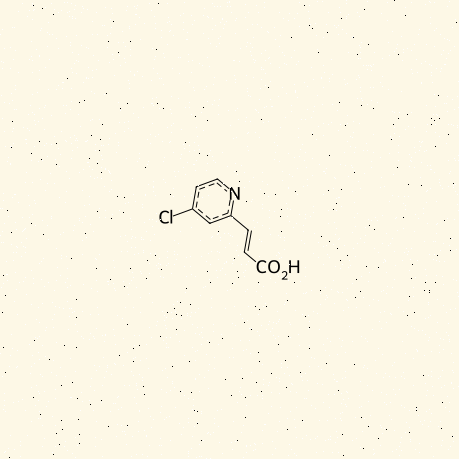 O=C(O)/C=C/c1cc(Cl)ccn1